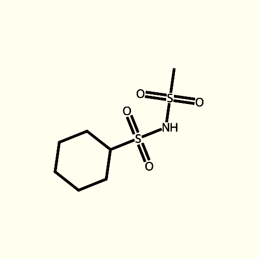 CS(=O)(=O)NS(=O)(=O)C1CCCCC1